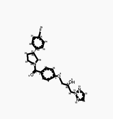 O=C(c1ccc(OC[C@H](O)Cn2nccn2)cc1)N1CC[C@H](c2ccc(F)cc2)C1